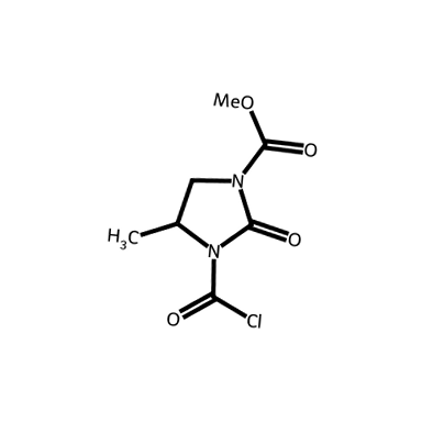 COC(=O)N1CC(C)N(C(=O)Cl)C1=O